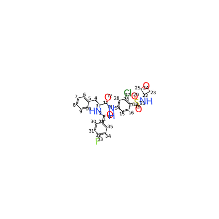 O=C(N[C@@H](Cc1ccccc1)C(=O)Nc1ccc(S(=O)(=O)NC2COC2)c(Cl)c1)c1ccc(F)cc1